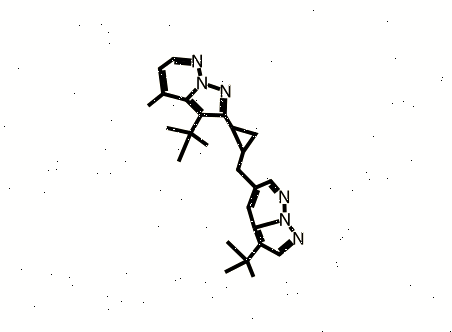 Cc1ccnn2nc(C3CC3Cc3cnn4ncc(C(C)(C)C)c4c3)c(C(C)(C)C)c12